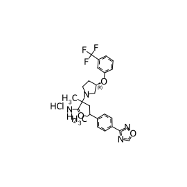 CC(CC(C)(C(N)=O)N1CC[C@@H](Oc2cccc(C(F)(F)F)c2)C1)c1ccc(-c2ncon2)cc1.Cl